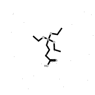 CCO[Si](CCCC(O)=S)(OCC)OCC